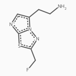 NCCc1cnc2sc(CF)nn12